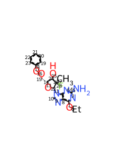 CCOc1nc(N)nc2c1ncn2C1O[C@H](COOc2ccccc2)[C@@H](O)[C@@]1(C)F